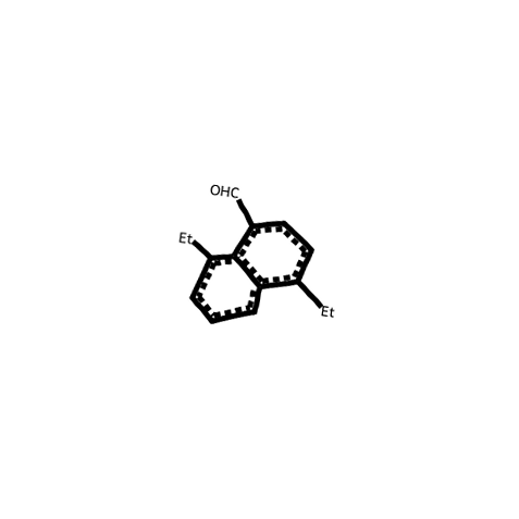 CCc1ccc(C=O)c2c(CC)cccc12